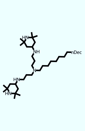 CCCCCCCCCCCCCCCCCCN(CCCNC1CC(C)(C)NC(C)(C)C1)CCCNC1CC(C)(C)NC(C)(C)C1